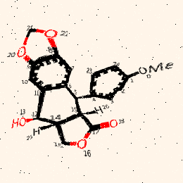 COc1ccc([C@@H]2c3cc4c(cc3[C@H](O)[C@H]3COC(=O)[C@@H]23)OCO4)cc1